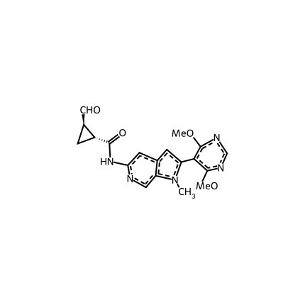 COc1ncnc(OC)c1-c1cc2cc(NC(=O)[C@@H]3C[C@H]3C=O)ncc2n1C